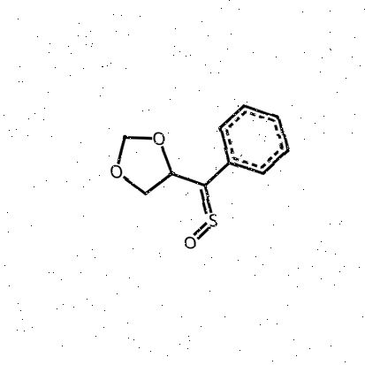 O=S=C(c1ccccc1)C1COCO1